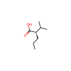 CCC[C@@H](C(=O)O)C(C)C